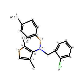 COc1ccc(SN(Cc2ccccc2Br)c2c(C)csc2C(=O)O)cc1